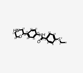 CCSc1ccc(C(=O)Nc2ccc(C3CNCCO3)cc2)cc1